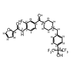 O=C(Nc1ccc(C(=O)N2CCN(Cc3ccc(C(O)(C(F)(F)F)C(F)(F)F)cc3)CC2)cc1F)c1ccco1